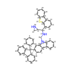 c1ccc(C2(c3ccc4c5ccccc5n(CNC(c5cccc6c5sc5ccccc56)C5CN5)c4c3)c3ccccc3-c3ccccc32)cc1